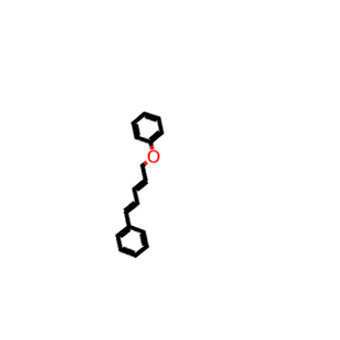 C(C=Cc1ccccc1)=CCOc1ccccc1